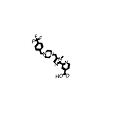 Cn1c(CN2CCN(Cc3ccc(C(F)(F)F)cc3)CC2)cnc1-c1cc(C(=O)O)ccn1